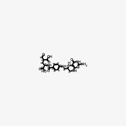 Nc1nc2c(c(=O)[nH]1)NC(CNc1ccc(C(=O)NC(CC(C=O)C(=O)O)C(=O)O)cc1)CN2